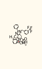 CC(=O)N1C(C(=O)O)Cc2c(nc(-c3ccccc3)n2Cc2cccc(C(F)(F)F)c2)C1(C)c1ccccc1